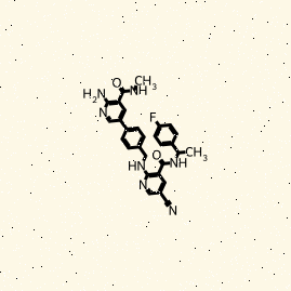 CNC(=O)c1cc(-c2ccc(CNc3ncc(C#N)cc3C(=O)NC(C)c3ccc(F)cc3)cc2)cnc1N